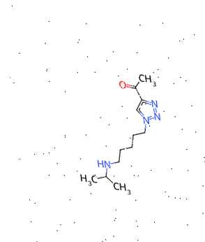 CC(=O)c1cn(CCCCCNC(C)C)nn1